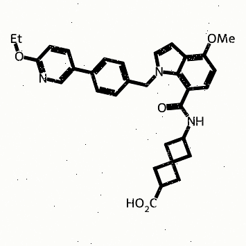 CCOc1ccc(-c2ccc(Cn3ccc4c(OC)ccc(C(=O)NC5CC6(C5)CC(C(=O)O)C6)c43)cc2)cn1